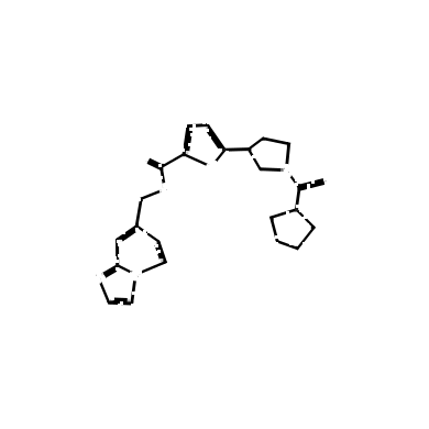 O=C(NCc1ccn2ccnc2c1)c1ccc(C2CCN(C(=O)C3CCCC3)C2)s1